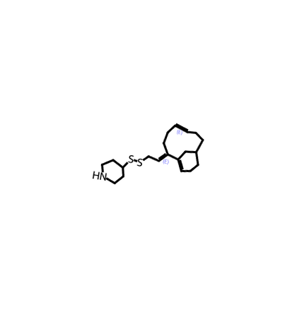 C1=C2CC(CC1)CC/C=C/CC/C2=C\CSSC1CCNCC1